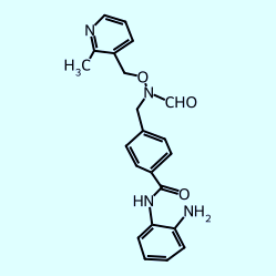 Cc1ncccc1CON(C=O)Cc1ccc(C(=O)Nc2ccccc2N)cc1